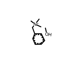 CO.C[N+](C)(C)Cc1ccccc1